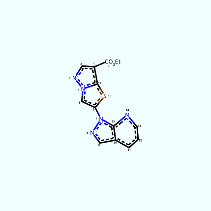 CCOC(=O)c1cnn2cc(-n3ncc4cccnc43)sc12